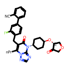 CCCc1c(Cc2ccc(-c3ccccc3C#N)cc2F)c(=O)n([C@H]2CC[C@H](O[C@@H]3COCC3=O)CC2)c2ncnn12